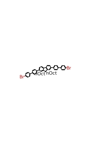 CCCCCCCCC1(CCCCCCCC)c2cc(-c3ccc(-c4ccc(Br)cc4)cc3)ccc2-c2ccc(-c3ccc(-c4ccc(Br)cc4)cc3)cc21